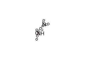 c1ccc(-c2ccc(C3Nc4cc(-c5ccc(-c6ccc(N(c7ccc8ccccc8c7)c7ccc8ccccc8c7)cc6)c6ccccc56)c5ccccc5c4O3)cc2)cc1